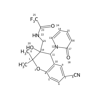 CC1(C)Oc2ccc(C#N)cc2C(n2ccccc2=O)C1(O)CNC(=O)C(F)(F)F